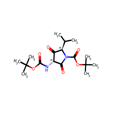 CC(C)[C@@H]1C(=O)[C@@H](NC(=O)OC(C)(C)C)C(=O)N1C(=O)OC(C)(C)C